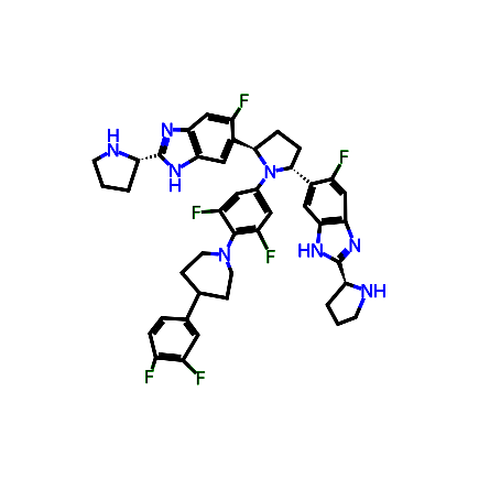 Fc1ccc(C2CCN(c3c(F)cc(N4[C@@H](c5cc6[nH]c([C@@H]7CCCN7)nc6cc5F)CC[C@@H]4c4cc5[nH]c([C@@H]6CCCN6)nc5cc4F)cc3F)CC2)cc1F